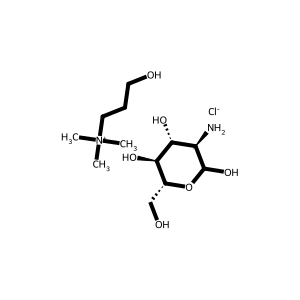 C[N+](C)(C)CCCO.N[C@H]1C(O)O[C@H](CO)[C@@H](O)[C@@H]1O.[Cl-]